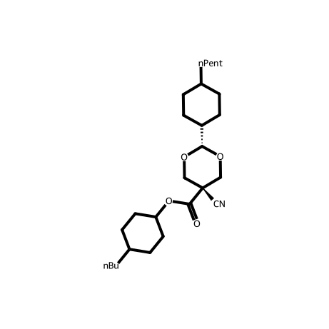 CCCCCC1CCC([C@H]2OC[C@@](C#N)(C(=O)OC3CCC(CCCC)CC3)CO2)CC1